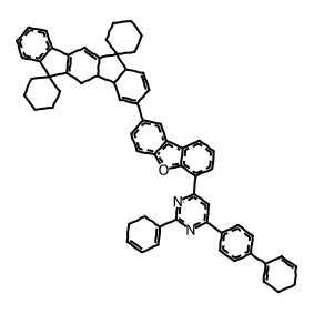 C1=CCCC(c2nc(-c3ccc(C4=CCCC=C4)cc3)cc(-c3cccc4c3oc3ccc(C5=CC6C7CC8=C(C=C7C7(CCCCC7)C6C=C5)c5ccccc5C85CCCCC5)cc34)n2)=C1